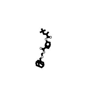 CC(CC(C)(C)C)C(=O)OC1CC2CC(C(=O)OCOCC34CC5CC(CC(C5)C3)C4)C1C2